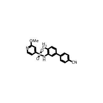 COc1cc(S(=O)(=O)Nc2cc(-c3ccc(C#N)cc3)ccc2C)ccn1